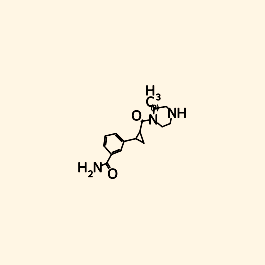 C[C@@H]1CNCCN1C(=O)C1CC1c1cccc(C(N)=O)c1